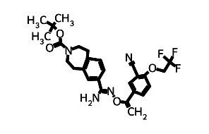 C=C(O/N=C(\N)c1ccc2c(c1)CCN(C(=O)OC(C)(C)C)CC2)c1ccc(OCC(F)(F)F)c(C#N)c1